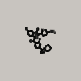 Bc1ccc(NC(=O)c2cc(F)ccc2NC(=O)c2ccc(C(=N)N3CCCCC3)cc2F)nc1